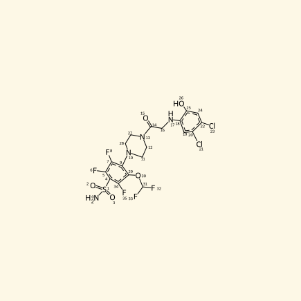 NS(=O)(=O)c1c(F)c(F)c(N2CCN(C(=O)CNc3cc(Cl)c(Cl)cc3O)CC2)c(OC(F)F)c1F